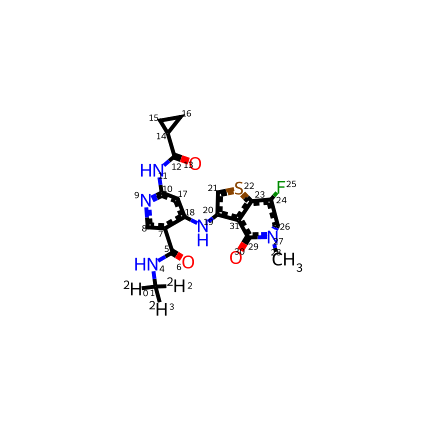 [2H]C([2H])([2H])NC(=O)c1cnc(NC(=O)C2CC2)cc1Nc1csc2c(F)cn(C)c(=O)c12